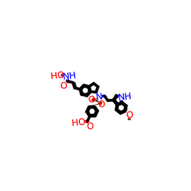 COc1ccc2c(CCN(C3CCc4cc(C=CC(=O)NO)ccc43)S(=O)(=O)c3ccc(C(=O)O)cc3)c[nH]c2c1